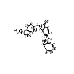 Cn1cnc2nc(CN3Cc4cc(Cn5ncc6ccncc65)ccc4C3=O)ccc21